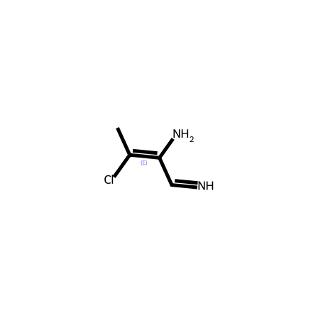 C/C(Cl)=C(\N)C=N